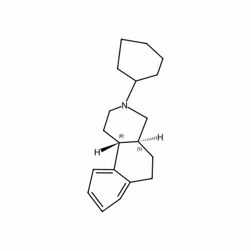 c1ccc2c(c1)CC[C@@H]1CN(C3CCCCC3)CC[C@@H]21